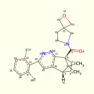 CC1(C)[C@@H]2CC[C@@]1(C(=O)N1CCC3(COC3)C1)c1nnc(-c3c(F)cccc3F)cc12